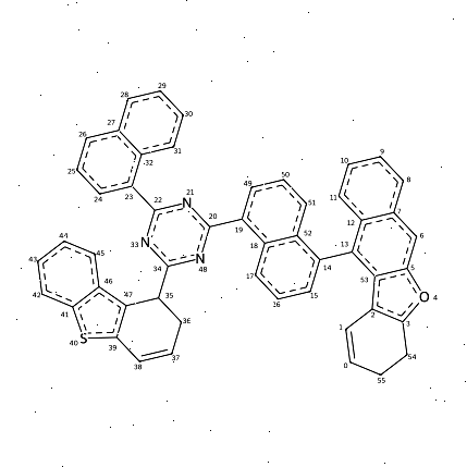 C1=Cc2c(oc3cc4ccccc4c(-c4cccc5c(-c6nc(-c7cccc8ccccc78)nc(C7CC=Cc8sc9ccccc9c87)n6)cccc45)c23)CC1